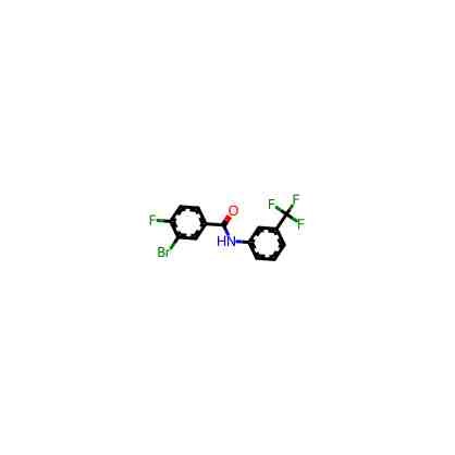 O=C(Nc1cccc(C(F)(F)F)c1)c1ccc(F)c(Br)c1